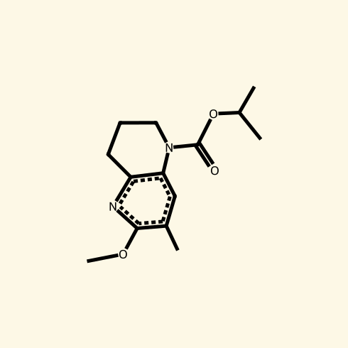 COc1nc2c(cc1C)N(C(=O)OC(C)C)CCC2